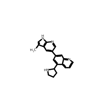 Cc1c[nH]c2ncc(-c3cc(C4CCCN4)c4cccnc4c3)cc12